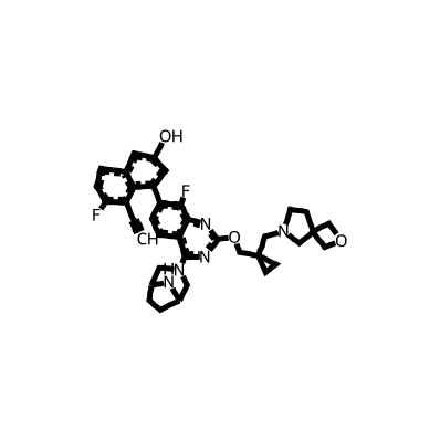 C#Cc1c(F)ccc2cc(O)cc(-c3ccc4c(N5CC6CCC(C5)N6)nc(OCC5(CN6CCC7(COC7)C6)CC5)nc4c3F)c12